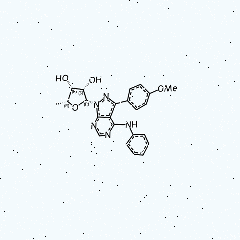 COc1ccc(-c2nn([C@@H]3O[C@H](C)[C@H](O)[C@@H]3O)c3ncnc(Nc4ccccc4)c23)cc1